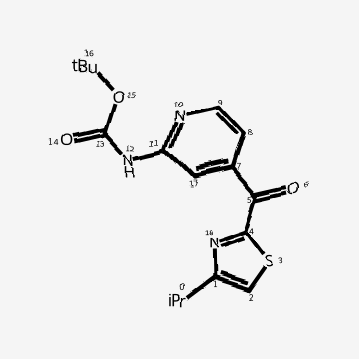 CC(C)c1csc(C(=O)c2ccnc(NC(=O)OC(C)(C)C)c2)n1